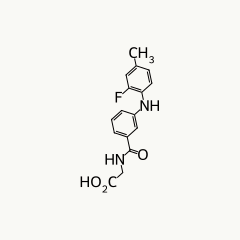 Cc1ccc(Nc2cccc(C(=O)NCC(=O)O)c2)c(F)c1